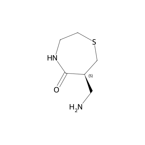 NC[C@@H]1CSCCNC1=O